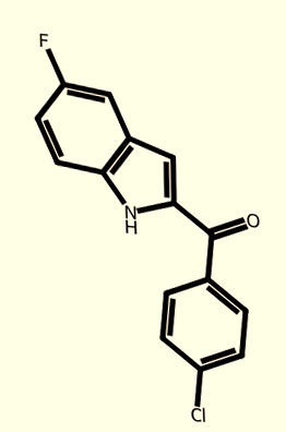 O=C(c1ccc(Cl)cc1)c1cc2cc(F)ccc2[nH]1